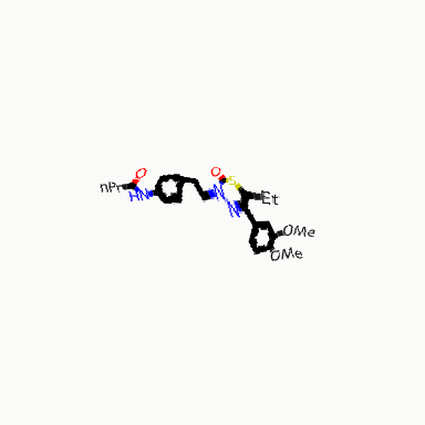 CCCC(=O)Nc1ccc(CCN2N=C(c3ccc(OC)c(OC)c3)C(CC)SC2=O)cc1